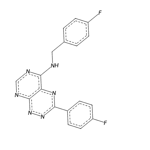 Fc1ccc(CNc2ncnc3nnc(-c4ccc(F)cc4)nc23)cc1